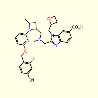 CC1CC(CN(C)Cc2nc3ccc(C(=O)O)cc3n2CC2CCO2)N1c1cccc(OCc2ccc(C#N)cc2F)n1